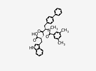 Cc1cc(C)cc(C(=O)N(C)[C@H](Cc2ccc(-c3ccccc3)cc2)C(=O)C[C@H](Cc2c[nH]c3ccccc23)C(=O)O)c1